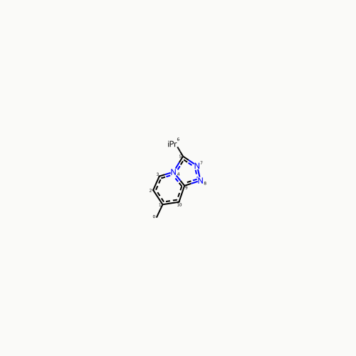 Cc1ccn2c(C(C)C)nnc2c1